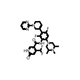 CC1CN(c2cc(F)c(C3=CCCN(c4ncccn4)C3)c(F)c2NC(=O)c2c[nH]c(=O)cc2C(F)F)CC(C)N1C